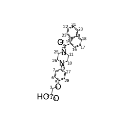 O=C(O)COc1ccc(N2CCN(C(=O)c3cccc4ccccc34)CC2)cc1